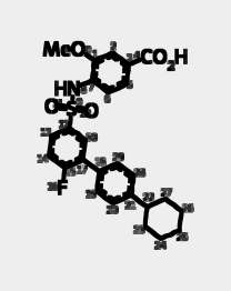 COc1cc(C(=O)O)ccc1NS(=O)(=O)c1ccc(F)c(-c2ccc(C3CCCCC3)cc2)c1